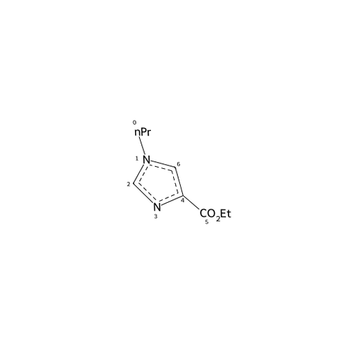 CCCn1cnc(C(=O)OCC)c1